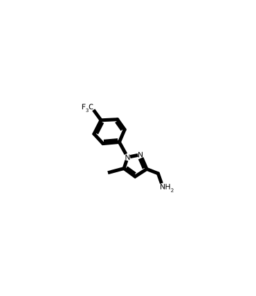 Cc1cc(CN)nn1-c1ccc(C(F)(F)F)cc1